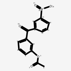 CC(=O)Oc1cccc(C(=O)c2cccc([N+](=O)[O-])c2)c1